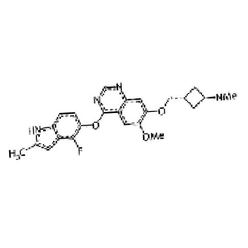 CN[C@H]1C[C@H](COc2cc3ncnc(Oc4ccc5[nH]c(C)cc5c4F)c3cc2OC)C1